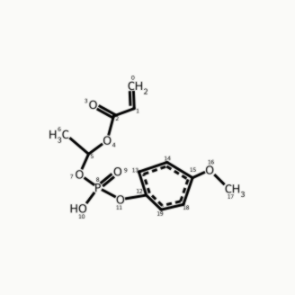 C=CC(=O)OC(C)OP(=O)(O)Oc1ccc(OC)cc1